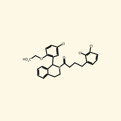 O=C(O)COc1ccc(Cl)cc1C1c2ccccc2CCN1C(=O)CCCc1cccc(Cl)c1Cl